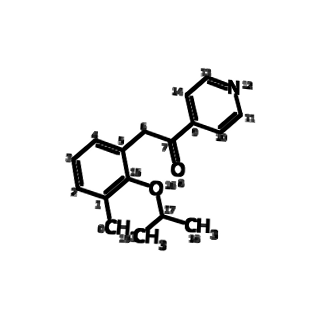 Cc1cccc(CC(=O)c2ccncc2)c1OC(C)C